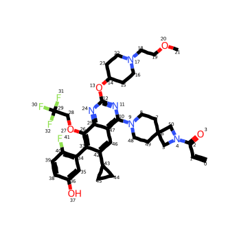 C=CC(=O)N1CC2(CCN(c3nc(OC4CCN(CCOC)CC4)nc4c(OCC(F)(F)F)c(-c5cc(O)ccc5F)c(C5CC5)cc34)CC2)C1